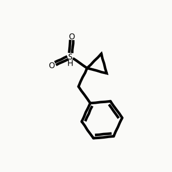 O=[SH](=O)C1(Cc2ccccc2)CC1